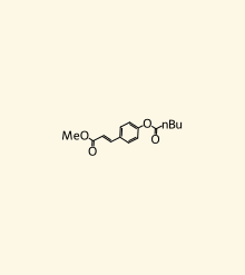 CCCCC(=O)Oc1ccc(C=CC(=O)OC)cc1